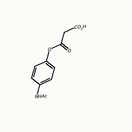 CC(=O)Nc1ccc(OC(=O)CC(=O)O)cc1